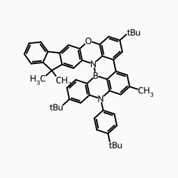 Cc1cc2c3c(c1)N(c1ccc(C(C)(C)C)cc1)c1cc(C(C)(C)C)ccc1B3N1c3cc4c(cc3Oc3cc(C(C)(C)C)cc-2c31)-c1ccccc1C4(C)C